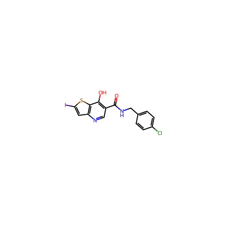 O=C(NCc1ccc(Cl)cc1)c1cnc2cc(I)sc2c1O